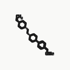 C=C[C@H]1CC[C@H](CC[C@H]2CC[C@H](c3ccc(COC)cc3)CC2)CC1